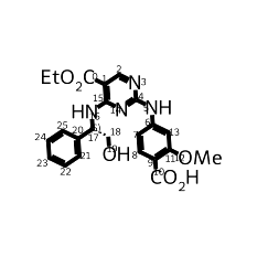 CCOC(=O)c1cnc(Nc2ccc(C(=O)O)c(OC)c2)nc1N[C@H](CO)c1ccccc1